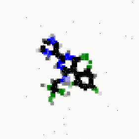 Fc1cc(F)c(-c2c(Cl)nc(-c3cnccn3)nc2NCC(F)(F)F)c(F)c1